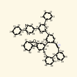 C1=C\c2ccc(-c3nc(-c4ccccc4)cc(-c4cnc(-c5ccccc5)nc4)n3)cc2-c2cc3oc4ccccc4c3cc2Sc2ccccc2-c2ccccc2/1